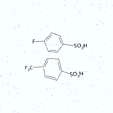 O=S(=O)(O)c1ccc(C(F)(F)F)cc1.O=S(=O)(O)c1ccc(F)cc1